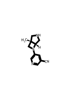 C[C@@]12CNC[C@@H]1N(c1cncc(C#N)c1)C2